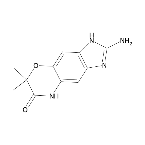 CC1(C)Oc2cc3[nH]c(N)nc3cc2NC1=O